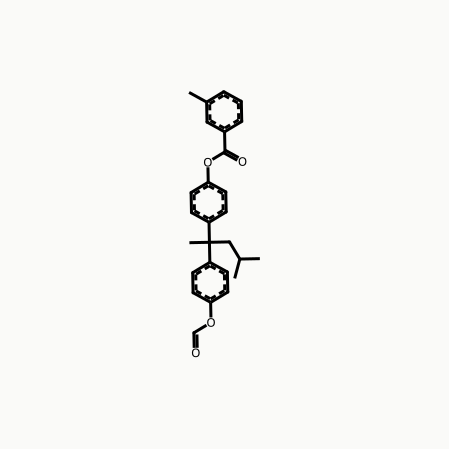 Cc1cccc(C(=O)Oc2ccc(C(C)(CC(C)C)c3ccc(OC=O)cc3)cc2)c1